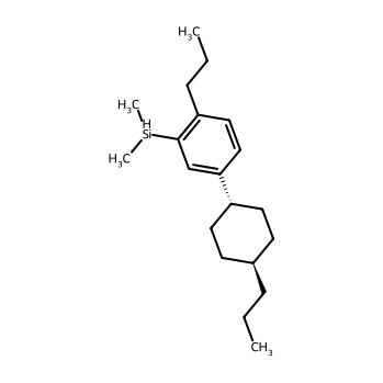 CCCc1ccc([C@H]2CC[C@H](CCC)CC2)cc1[SiH](C)C